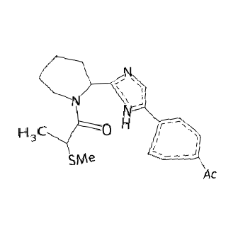 CSC(C)C(=O)N1CCCCC1c1ncc(-c2ccc(C(C)=O)cc2)[nH]1